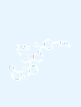 CCc1ccccc1Oc1c(Cl)cccc1[C@](O)(CCCCOC)[C@@H]1CCCN(C(=O)c2ccc(CN)cc2)C1